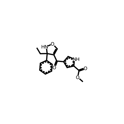 CCC1(c2ccccc2)NOC=C1C(=O)c1c[nH]c(C(=O)OC)c1